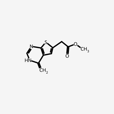 C=C1NC=Nc2sc(CC(=O)OC)cc21